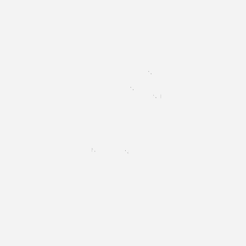 c1ccc(C2=NC(c3ccc4c(c3)c3ccccc3n3c5ccc6ccccc6c5c5ccc6c7c8ccccc8ccc7n4c6c53)NC(c3ccccc3)=N2)cc1